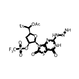 CCC(OC(C)=O)[C@@H]1C[C@H](OS(=O)(=O)C(F)(F)F)[C@H](n2c(=O)sc3c(=O)[nH]c(NN=N)nc32)O1